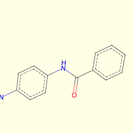 Nc1ccc(NC(=O)c2c[c]ccc2)cc1